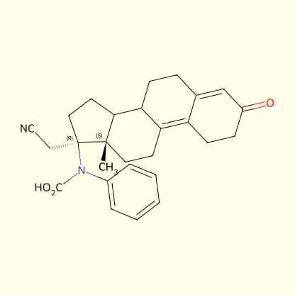 C[C@]12CCC3=C4CCC(=O)C=C4CCC3C1CC[C@]2(CC#N)N(C(=O)O)c1ccccc1